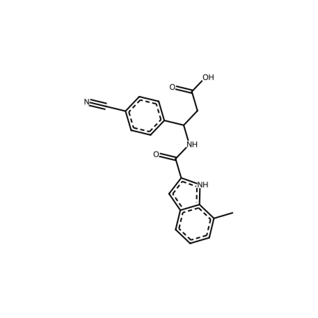 Cc1cccc2cc(C(=O)NC(CC(=O)O)c3ccc(C#N)cc3)[nH]c12